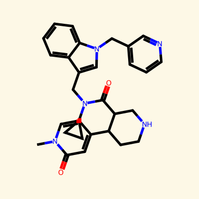 Cn1ccc(C2CCNCC2C(=O)N(Cc2cn(Cc3cccnc3)c3ccccc23)C2CC2)cc1=O